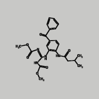 COC(=O)N=C(NC(=O)OC)Nc1cc(C(=O)c2ccccc2)ccc1NC(=O)CC(C)C